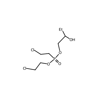 CCC(O)COP(=O)(CCCl)OCCCl